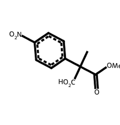 COC(=O)C(C)(C(=O)O)c1ccc([N+](=O)[O-])cc1